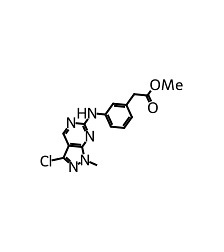 COC(=O)Cc1cccc(Nc2ncc3c(Cl)nn(C)c3n2)c1